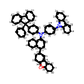 c1ccc(C2(c3ccc(N(c4ccc(-n5c6ccccc6c6ccccc65)cc4)c4ccc(-c5ccc6oc7ccccc7c6c5)c5ccccc45)cc3)c3ccccc3-c3ccccc32)cc1